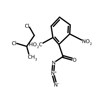 CC(Cl)CCl.[N-]=[N+]=NC(=O)c1c(C(=O)O)cccc1[N+](=O)[O-]